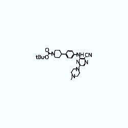 CN1CCN(c2cnc(C#N)c(Nc3ccc(C4CCN(C(=O)OC(C)(C)C)CC4)cc3)n2)CC1